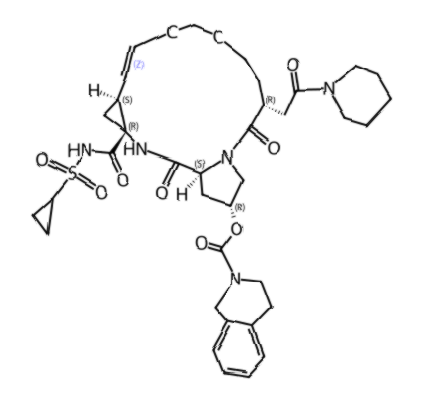 O=C1N[C@]2(C(=O)NS(=O)(=O)C3CC3)C[C@H]2/C=C\CCCCC[C@H](CC(=O)N2CCCCC2)C(=O)N2C[C@H](OC(=O)N3CCc4ccccc4C3)C[C@@H]12